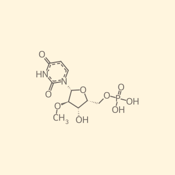 CO[C@@H]1[C@@H](O)[C@@H](COP(=O)(O)O)O[C@H]1n1ccc(=O)[nH]c1=O